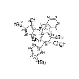 CCC1=[C](/[Zr+2](=[CH]/c2ccccc2)[c]2cc(C(C)(C)C)cc3c2Cc2ccc(C(C)(C)C)cc2-3)C(CC)C=C1C(C)(C)C.[Cl-].[Cl-]